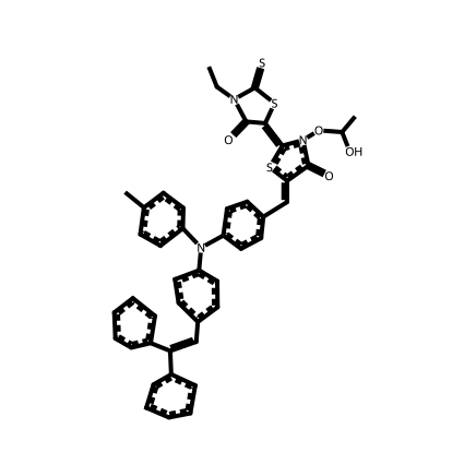 CCN1C(=O)/C(=c2\s/c(=C\c3ccc(N(c4ccc(C)cc4)c4ccc(C=C(c5ccccc5)c5ccccc5)cc4)cc3)c(=O)n2OC(C)O)SC1=S